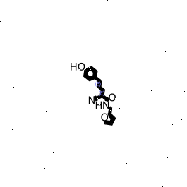 N#C/C(=C\C=C\c1ccc(O)cc1)C(=O)NCc1ccco1